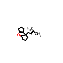 CC(C)=CCC1(C2=CCCC2)CCCC1=O